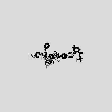 C=C(CCC(F)F)C1=C(CN2CCN(c3ccc(C(=O)NS(=O)(=O)c4ccc(N[C@H](CCN5CCC(O)CC5)CSc5ccccc5)c(S(=O)(=O)C(F)(F)F)c4)cc3)CC2)CC(C)(C)CC1